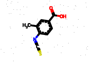 Cc1cc(C(=O)O)ccc1N=C=S